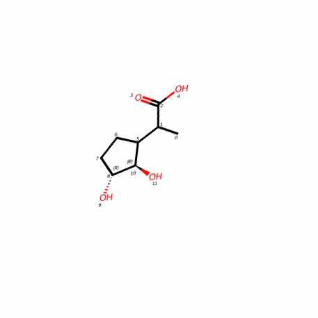 CC(C(=O)O)C1CC[C@@H](O)[C@@H]1O